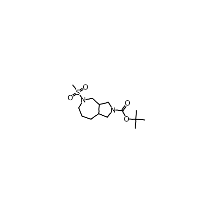 CC(C)(C)OC(=O)N1CC2CCCN(S(C)(=O)=O)CC2C1